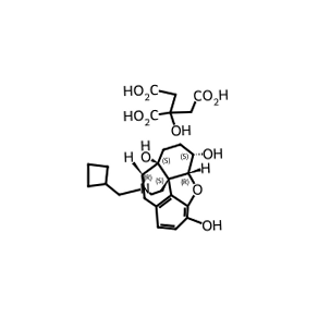 O=C(O)CC(O)(CC(=O)O)C(=O)O.Oc1ccc2c3c1O[C@H]1[C@@H](O)CC[C@@]4(O)[C@@H](C2)N(CC2CCC2)CC[C@]314